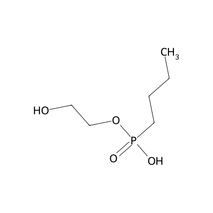 CCCCP(=O)(O)OCCO